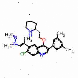 C=NN(C)/C=C(\C)c1cc2c(OCC[C@H]3CCCCN3)c(-c3cc(C)cc(C)c3)cnc2cc1Cl